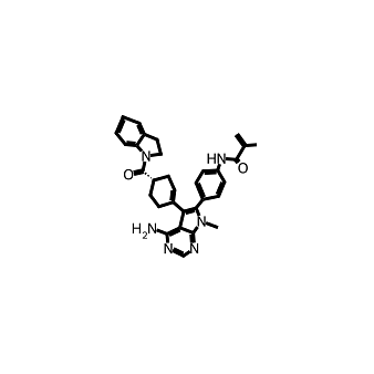 C=C(C)C(=O)Nc1ccc(-c2c(C3=CC[C@@H](C(=O)N4CCc5ccccc54)CC3)c3c(N)ncnc3n2C)cc1